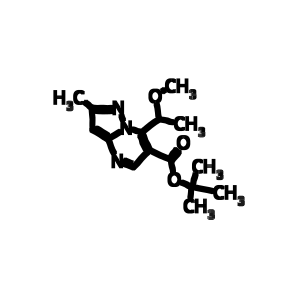 COC(C)c1c(C(=O)OC(C)(C)C)cnc2cc(C)nn12